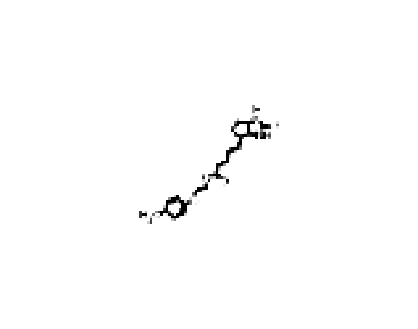 CC1C=CC(OCCOC(=O)CCCCC2SCC3NC(=O)NC32)=CC1